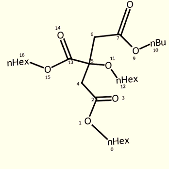 CCCCCCOC(=O)CC(CC(=O)OCCCC)(OCCCCCC)C(=O)OCCCCCC